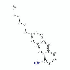 CCCCCCc1ccc2cc3cccc(N)c3cc2c1